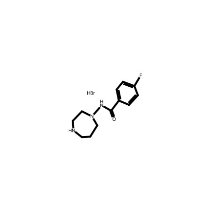 Br.O=C(NN1CCCNCC1)c1ccc(F)cc1